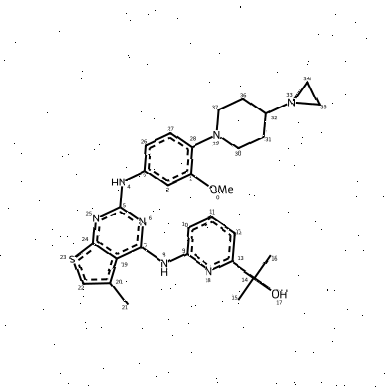 COc1cc(Nc2nc(Nc3cccc(C(C)(C)O)n3)c3c(C)csc3n2)ccc1N1CCC(N2CC2)CC1